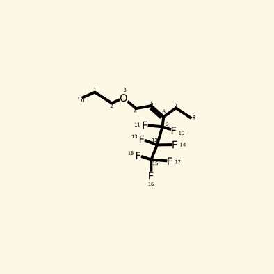 [CH2]CCOCC=C(CC)C(F)(F)C(F)(F)C(F)(F)F